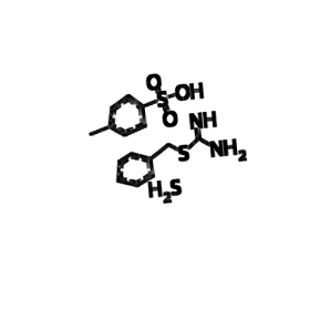 Cc1ccc(S(=O)(=O)O)cc1.N=C(N)SCc1ccccc1.S